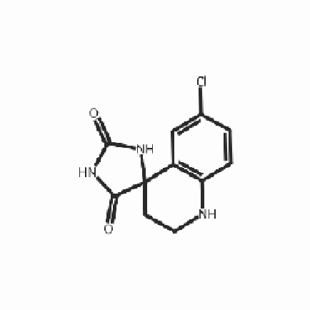 O=C1NC(=O)C2(CCNc3ccc(Cl)cc32)N1